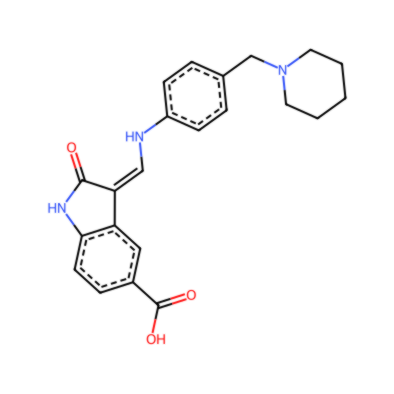 O=C1Nc2ccc(C(=O)O)cc2C1=CNc1ccc(CN2CCCCC2)cc1